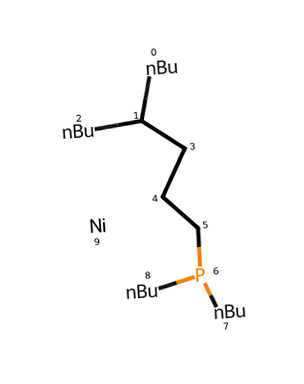 CCCCC(CCCC)CCCP(CCCC)CCCC.[Ni]